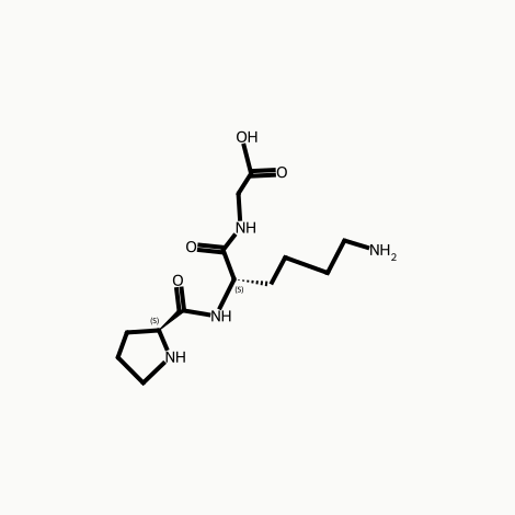 NCCCC[C@H](NC(=O)[C@@H]1CCCN1)C(=O)NCC(=O)O